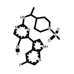 [C-]#[N+]c1cnc(NC(C)C2CCN(S(C)(=O)=O)CC2)nc1-c1c[nH]c2ncc(F)cc12